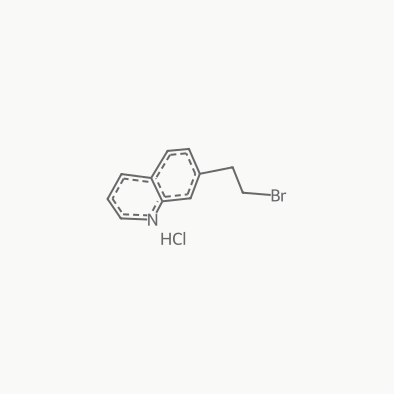 BrCCc1ccc2cccnc2c1.Cl